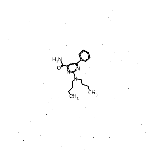 CCCCN(CCCC)c1nc(C(N)=O)cc(-c2ccccc2)n1